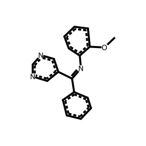 COc1ccccc1N=C(c1ccccc1)c1cncnc1